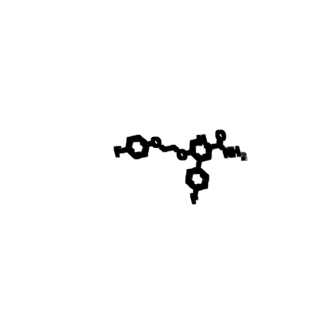 NC(=O)c1cc(-c2ccc(F)cc2)c(OCCOc2ccc(F)cc2)cn1